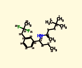 C=C(CCC(C)(C)C)NC(CCC)c1cccc(CC(C)(F)F)c1